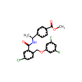 COC(=O)c1ccc([C@H](C)NC(=O)c2cc(Cl)ccc2COc2cc(F)cc(F)c2)cc1